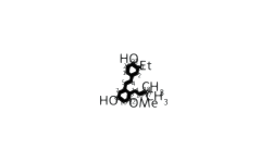 CCc1cc(C=Cc2cc(O)cc(OC)c2CC=C(C)C)ccc1O